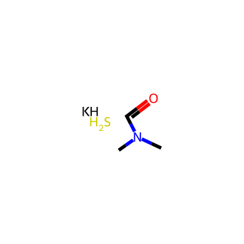 CN(C)C=O.S.[KH]